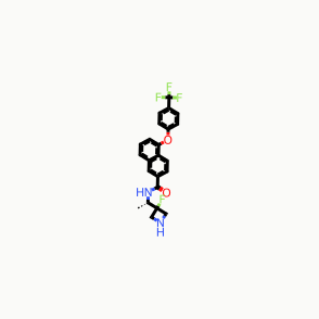 C[C@H](NC(=O)c1ccc2c(Oc3ccc(C(F)(F)F)cc3)cccc2c1)C1(F)CNC1